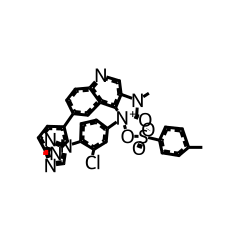 Cc1ccc(S(=O)(=O)O[N+]2(c3ccc(-n4cncn4)c(Cl)c3)C(=O)N(C)c3cnc4ccc(-c5cccnc5)cc4c32)cc1